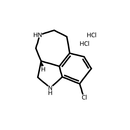 Cl.Cl.Clc1ccc2c3c1NC[C@@H]3CNCC2